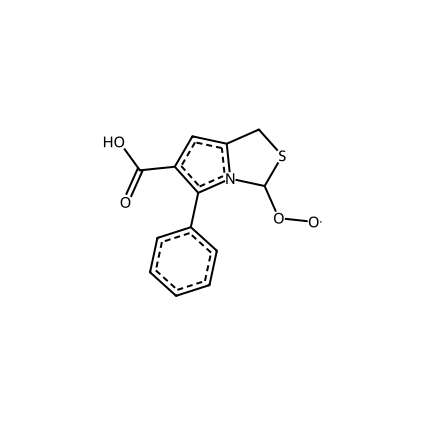 [O]OC1SCc2cc(C(=O)O)c(-c3ccccc3)n21